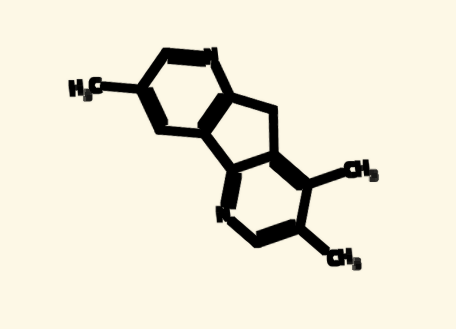 Cc1cnc2c(c1)-c1ncc(C)c(C)c1C2